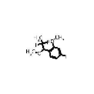 COc1cc(F)ccc1C(OC)C(C)(F)F